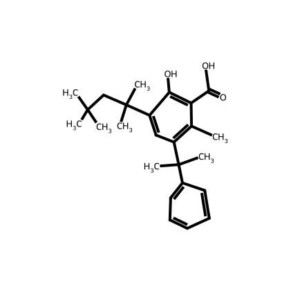 Cc1c(C(C)(C)c2ccccc2)cc(C(C)(C)CC(C)(C)C)c(O)c1C(=O)O